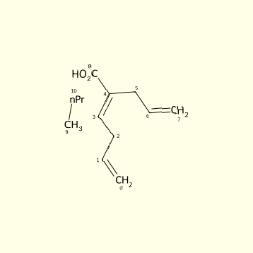 C=CCC=C(CC=C)C(=O)O.CCCC